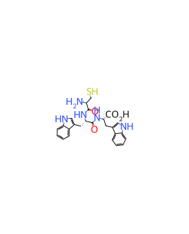 N[C@@H](CS)C(=O)N[C@@H](Cc1c[nH]c2ccccc12)C(=O)N[C@@H](Cc1c[nH]c2ccccc12)C(=O)O